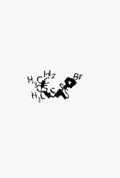 C=C(C)C(=O)SC(C)CSCC1CSC(c2ccc(Br)cc2)S1